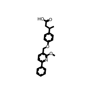 COc1nc(-c2ccccc2)ccc1COc1ccc(C(C)CC(=O)O)cc1